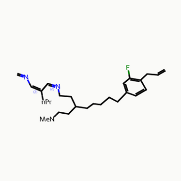 C=CCc1ccc(CCCCCC(CC/N=C\C(=C/N=C)CCC)CCNC)cc1F